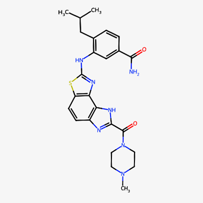 CC(C)Cc1ccc(C(N)=O)cc1Nc1nc2c(ccc3nc(C(=O)N4CCN(C)CC4)[nH]c32)s1